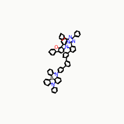 c1ccc(-c2nc(-c3ccccc3)nc(-c3cccc(-c4cccc(-c5cccc(-c6ccc(N7c8ccccc8B8c9ccccc9N(c9ccccc9)c9cccc7c98)cc6)c5)c4)c3-n3c4ccccc4c4c5oc6ccccc6c5ccc43)n2)cc1